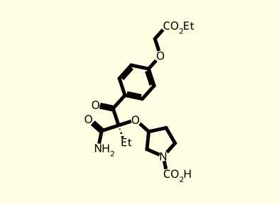 CCOC(=O)COc1ccc(C(=O)[C@@](CC)(OC2CCN(C(=O)O)C2)C(N)=O)cc1